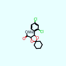 COC(=O)C1OC2(CCCCC2)OC1c1ccc(Cl)cc1Cl